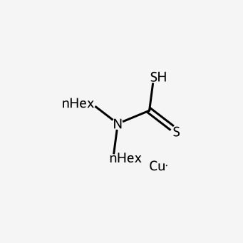 CCCCCCN(CCCCCC)C(=S)S.[Cu]